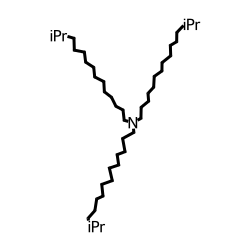 CC(C)CCCCCCCCCCCCN(CCCCCCCCCCCCC(C)C)CCCCCCCCCCCCC(C)C